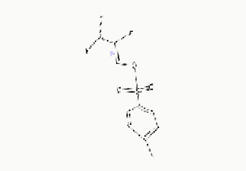 Cc1ccc(S(=O)(=O)O/C=C(\F)C(F)F)cc1